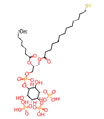 CCCCCCCCCCCCCCCC(=O)O[C@H](COC(=O)CCCCCCCCCCCCS)COP(=O)(O)OC1C(O)[C@H](OP(=O)(O)O)C(OP(=O)(O)O)[C@H](OP(=O)(O)O)[C@@H]1O